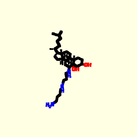 CC(C)CCC[C@@H](C)[C@H]1CC[C@H]2[C@@H]3CC(NCCCNCCCCN)C4(O)CC(O)CC[C@]4(C)[C@H]3CC[C@]12C